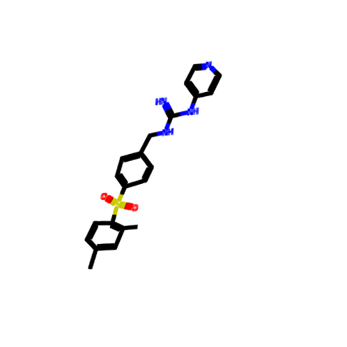 Cc1ccc(S(=O)(=O)c2ccc(CNC(=N)Nc3ccncc3)cc2)c(C)c1